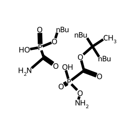 CCCCC(C)(CCCC)OC(=O)P(=O)(O)ON.CCCCOP(=O)(O)C(N)=O